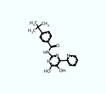 CC(C)(C)c1ccc(C(=O)Nc2nc(O)c(O)c(-c3ccccn3)n2)cc1